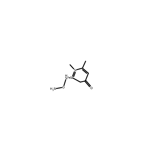 CC1=CC(=O)C[Si]([SiH2]O[SiH3])=[Si]1C